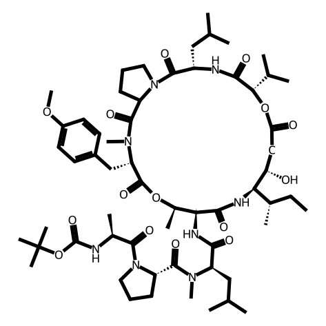 CC[C@H](C)[C@H]1NC(=O)[C@@H](NC(=O)[C@@H](CC(C)C)N(C)C(=O)[C@@H]2CCCN2C(=O)[C@H](C)NC(=O)OC(C)(C)C)[C@@H](C)OC(=O)[C@H](Cc2ccc(OC)cc2)N(C)C(=O)C2CCCN2C(=O)[C@H](CC(C)C)NC(=O)[C@H](C(C)C)OC(=O)C[C@@H]1O